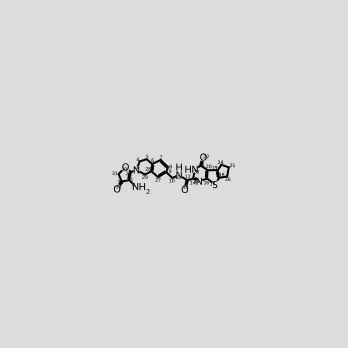 NC1=C(N2CCc3ccc(CNC(=O)c4nc5sc6c(c5c(=O)[nH]4)CCC6)cc3C2)OCC1=O